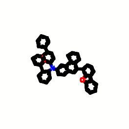 c1ccc(-c2ccc(N(c3ccc4cc(-c5cccc6c5oc5ccccc56)c5ccccc5c4c3)c3ccccc3-c3ccccc3)cc2)cc1